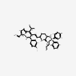 CCCC[Si](OC1CCC(C=Cc2c(-c3ccc(F)cc3)nn3c(C=O)ccc3c2C(C)C)OC1=O)(c1ccccc1)c1ccccc1